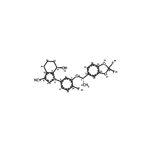 C[C@H](Oc1cc(-n2nc(C#N)c3c2[C@H](O)CCC3)ccc1F)c1ccc2c(c1)OC(F)(F)O2